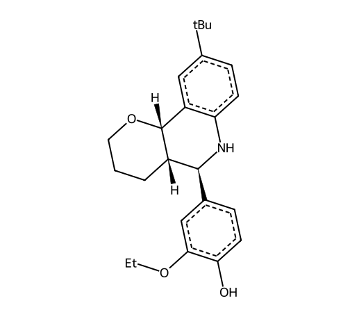 CCOc1cc([C@@H]2Nc3ccc(C(C)(C)C)cc3[C@H]3OCCC[C@H]32)ccc1O